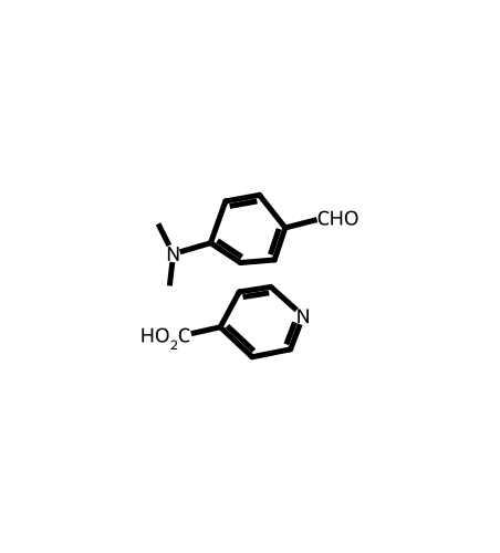 CN(C)c1ccc(C=O)cc1.O=C(O)c1ccncc1